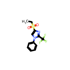 CCS(=O)(=O)c1cn(-c2ccccc2)c(C(F)(F)F)n1